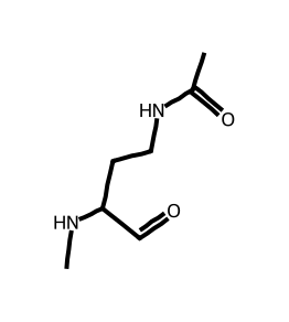 CNC(C=O)CCNC(C)=O